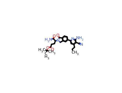 CCCc1cc(-c2ccc3c(c2)CN(C(CCC(=O)OC(C)(C)C)C(N)=O)C3=O)nc(N)c1C#N